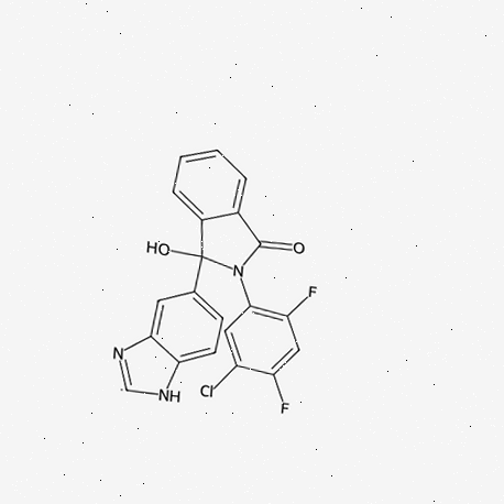 O=C1c2ccccc2C(O)(c2ccc3[nH][c]nc3c2)N1c1cc(Cl)c(F)cc1F